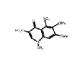 COc1cc2c(c([N+](=O)[O-])c1OC)c(=O)c(C(=O)O)cn2C